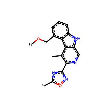 CCOCc1cccc2[nH]c3cnc(-c4noc(CC)n4)c(C)c3c12